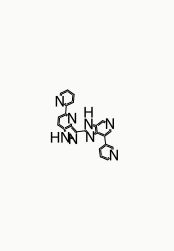 c1ccc(-c2ccc3[nH]nc(-c4nc5c(-c6cccnc6)cncc5[nH]4)c3n2)nc1